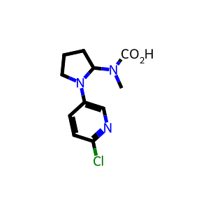 CN(C(=O)O)C1CCCN1c1ccc(Cl)nc1